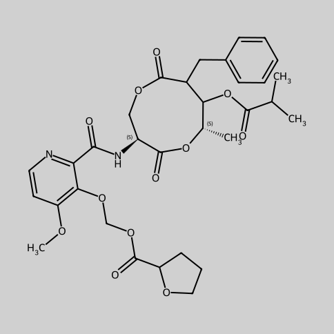 COc1ccnc(C(=O)N[C@H]2COC(=O)C(Cc3ccccc3)C(OC(=O)C(C)C)[C@H](C)OC2=O)c1OCOC(=O)C1CCCO1